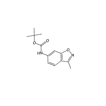 Cc1noc2cc(NC(=O)OC(C)(C)C)ccc12